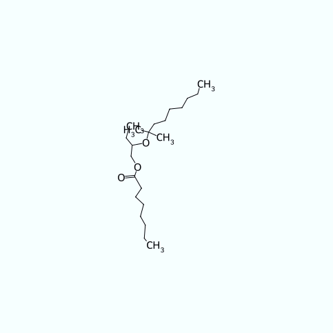 CCCCCCCC(=O)OCC(CC)OC(C)(C)CCCCCCC